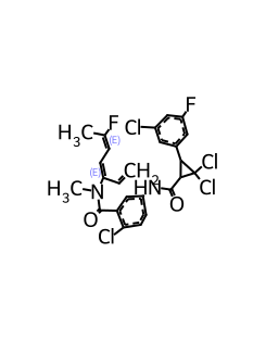 C=C/C(=C\C=C(/C)F)N(C)C(=O)c1cc(NC(=O)C2C(c3cc(F)cc(Cl)c3)C2(Cl)Cl)ccc1Cl